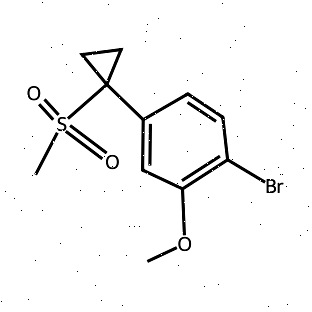 COc1cc(C2(S(C)(=O)=O)CC2)ccc1Br